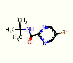 CC(C)(C)NC(=O)c1ncc(Br)cn1